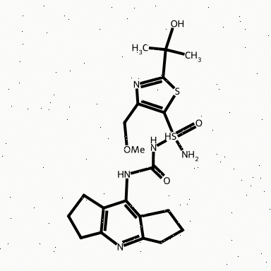 COCc1nc(C(C)(C)O)sc1[SH](N)(=O)NC(=O)Nc1c2c(nc3c1CCC3)CCC2